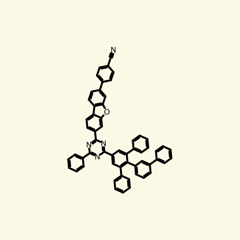 N#Cc1ccc(-c2ccc3c(c2)oc2cc(-c4nc(-c5ccccc5)nc(-c5cc(-c6ccccc6)c(-c6cccc(-c7ccccc7)c6)c(-c6ccccc6)c5)n4)ccc23)cc1